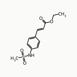 CCOC(=O)C=Cc1ccc(NS(C)(=O)=O)cc1